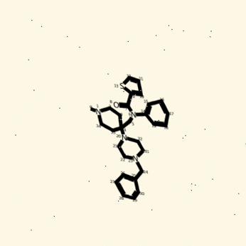 CN1CCC(CN(C(=O)c2cccs2)c2ccccc2)(N2CCN(Cc3ccccc3)CC2)CC1